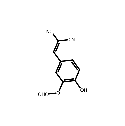 N#CC(C#N)=Cc1ccc(O)c(OC=O)c1